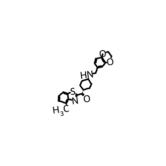 Cc1cccc2sc(C(=O)[C@H]3CC[C@H](NCc4ccc5c(c4)OCCO5)CC3)nc12